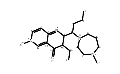 CCCC(C1N=C2C=CN(F)C=C2C(=O)C1CC)N1CCCN(C)CC1